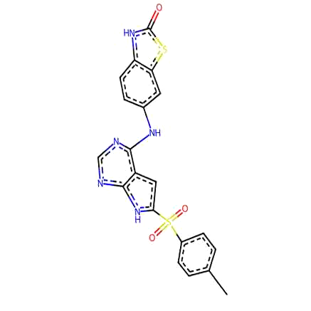 Cc1ccc(S(=O)(=O)c2cc3c(Nc4ccc5[nH]c(=O)sc5c4)ncnc3[nH]2)cc1